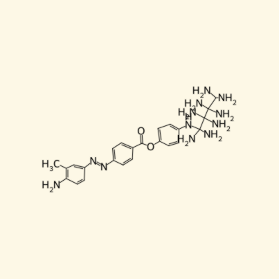 Cc1cc(N=Nc2ccc(C(=O)Oc3ccc(NC(N)(N)C(N)(N)C(N)(N)C(N)N)cc3)cc2)ccc1N